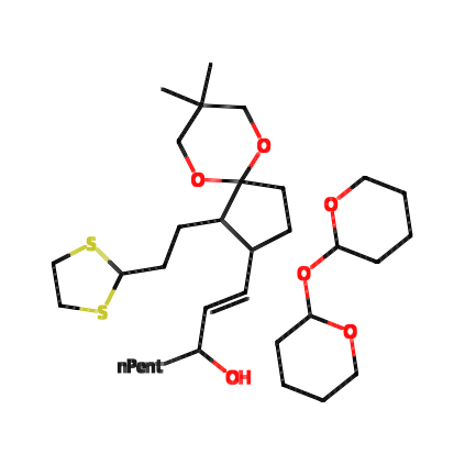 C1CCC(OC2CCCCO2)OC1.CCCCCC(O)C=CC1CCC2(OCC(C)(C)CO2)C1CCC1SCCS1